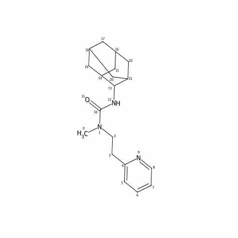 CN(CCc1ccccn1)C(=O)NC1C2CC3CC(C2)CC1C3